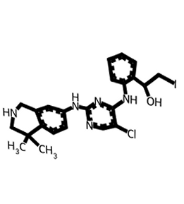 CC1(C)CNCc2cc(Nc3ncc(Cl)c(Nc4ccccc4C(O)CI)n3)ccc21